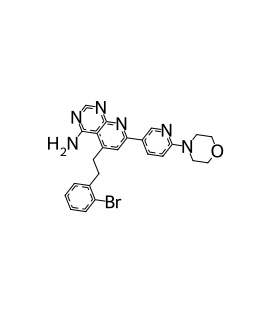 Nc1ncnc2nc(-c3ccc(N4CCOCC4)nc3)cc(CCc3ccccc3Br)c12